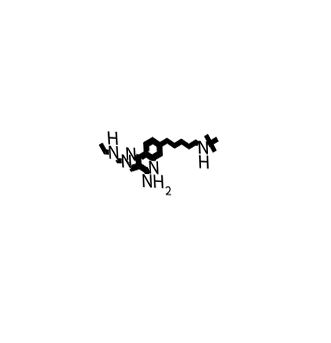 CCNCn1cc2c(N)nc3cc(CCCCCNC(C)(C)C)ccc3c2n1